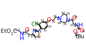 CCOC(=O)CNC(=O)Cc1csc(-c2ccc(OCCN3CCN(C(=O)CNC(=O)OC(C)(C)C)CC3)cc2Cl)n1